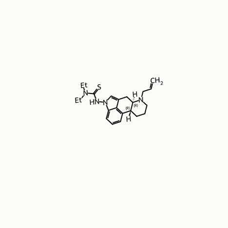 C=CCN1CCC[C@@H]2c3cccc4c3c(cn4NC(=S)N(CC)CC)C[C@H]21